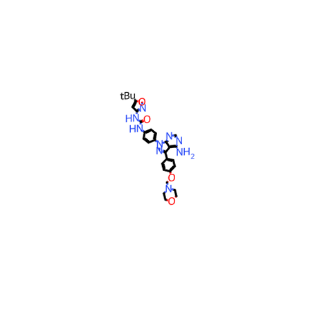 CC(C)(C)c1cc(NC(=O)Nc2ccc(-n3nc(-c4ccc(OCN5CCOCC5)cc4)c4c(N)ncnc43)cc2)no1